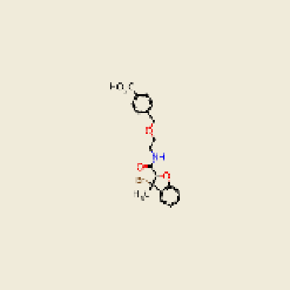 CC1(Br)c2ccccc2OC1C(=O)NCCOCc1ccc(C(=O)O)cc1